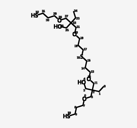 CCC(CO)(COCCCS)COCCCSCCCOCC(CC)(CO)COCCCS